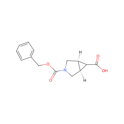 O=C(O)C1[C@H]2CN(C(=O)OCc3ccccc3)C[C@@H]12